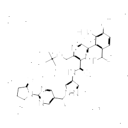 C[C@@H](c1cnc(N2CCCC2=O)nc1)n1cc(NC(=O)c2nc(-c3c(C(F)F)ccc(Cl)c3P)cnc2COC(C)(C)C)cn1